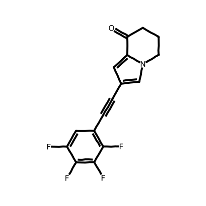 O=C1CCCn2cc(C#Cc3cc(F)c(F)c(F)c3F)cc21